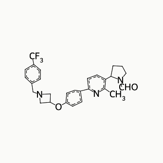 Cc1nc(-c2ccc(OC3CN(Cc4ccc(C(F)(F)F)cc4)C3)cc2)ccc1C1CCCN1C=O